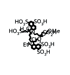 CCN1c2ccc3c(S(=O)(=O)O)cc(S(=O)(=O)O)cc3c2C(C)(CCOCCOCCOC)C1C=CC=C1N(CCCCCC(=O)O)c2ccc3c(S(=O)(=O)O)cc(S(=O)(=O)O)cc3c2C1(C)CCCS(=O)(=O)O